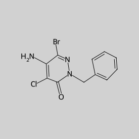 Nc1c(Br)nn(Cc2ccccc2)c(=O)c1Cl